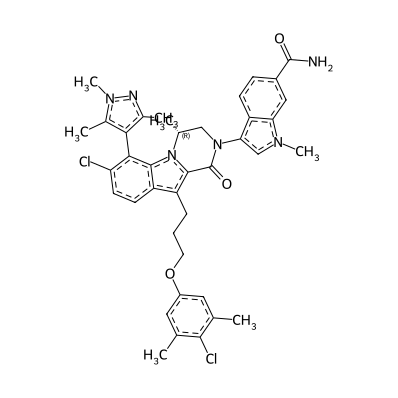 Cc1cc(OCCCc2c3n(c4c(-c5c(C)nn(C)c5C)c(Cl)ccc24)[C@H](C)CN(c2cn(C)c4cc(C(N)=O)ccc24)C3=O)cc(C)c1Cl